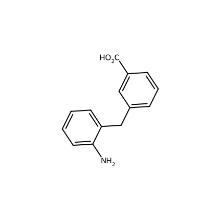 Nc1ccccc1Cc1cccc(C(=O)O)c1